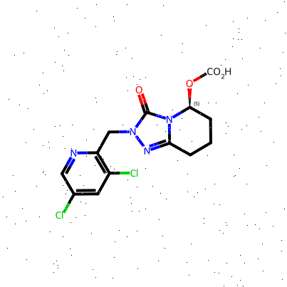 O=C(O)O[C@H]1CCCc2nn(Cc3ncc(Cl)cc3Cl)c(=O)n21